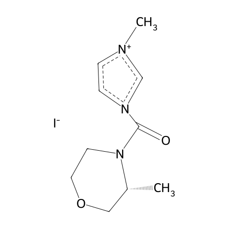 C[C@@H]1COCCN1C(=O)n1cc[n+](C)c1.[I-]